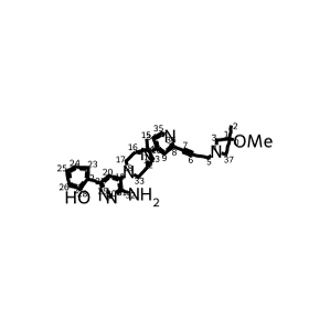 COC1(C)CN(CC#Cc2cc(N3C4CC(C)C3CN(c3cc(-c5ccccc5O)nnc3N)C4)ccn2)C1